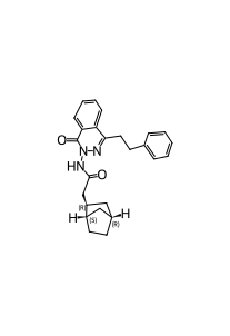 O=C(C[C@H]1C[C@@H]2CC[C@H]1C2)Nn1nc(CCc2ccccc2)c2ccccc2c1=O